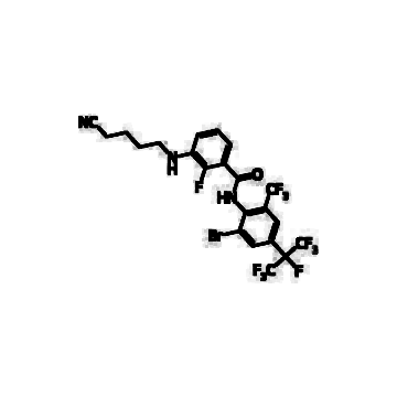 N#CCCCCNc1cccc(C(=O)Nc2c(Br)cc(C(F)(C(F)(F)F)C(F)(F)F)cc2C(F)(F)F)c1F